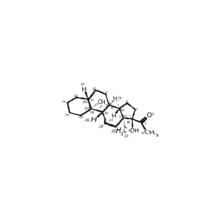 CC(=O)[C@@]1(O)CC[C@H]2[C@@H]3CC[C@H]4CCCC[C@]4(C)[C@H]3CC[C@@]21C